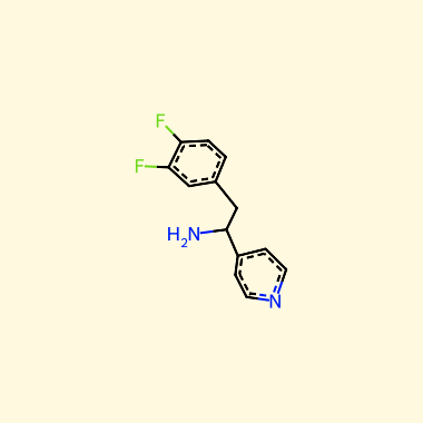 NC(Cc1ccc(F)c(F)c1)c1ccncc1